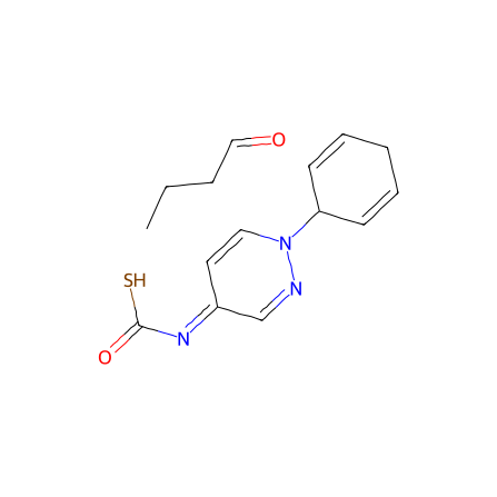 CCCC=O.O=C(S)N=c1ccn(C2C=CCC=C2)nc1